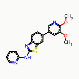 COc1cc(-c2ccc3nc(Nc4ccccn4)sc3c2)cnc1OC